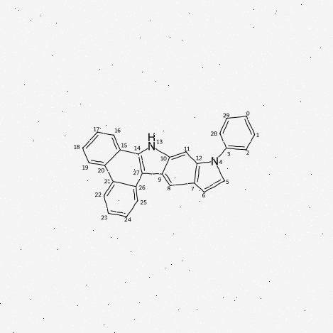 c1ccc(-n2ccc3cc4c(cc32)[nH]c2c3ccccc3c3ccccc3c42)cc1